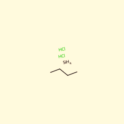 CCCC.Cl.Cl.[SiH4]